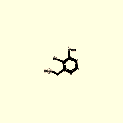 CCCCCc1cccc(CC(=O)O)c1O